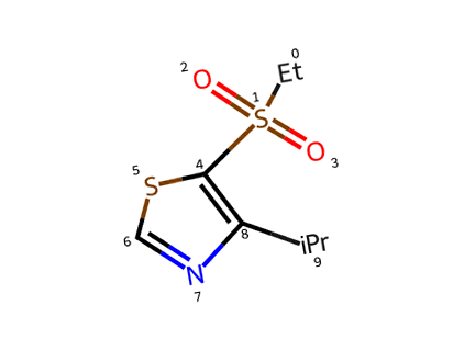 CCS(=O)(=O)c1scnc1C(C)C